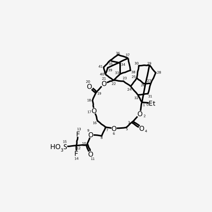 CCC12OC(=O)COC(COC(=O)C(F)(F)S(=O)(=O)O)COCC(=O)OC3(CC4C5CC(CC1C5)CC42)C1CC2CC(C1)CC3C2